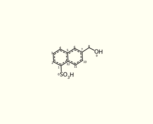 O=S(=O)(O)c1cccc2cc(CO)ccc12